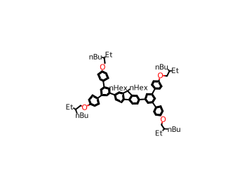 CCCCCCC1(CCCCCC)c2cc(-c3cc(-c4ccc(OCC(CC)CCCC)cc4)cc(-c4ccc(OCC(CC)CCCC)cc4)c3)ccc2-c2ccc(-c3cc(-c4ccc(OCC(CC)CCCC)cc4)cc(-c4ccc(OCC(CC)CCCC)cc4)c3)cc21